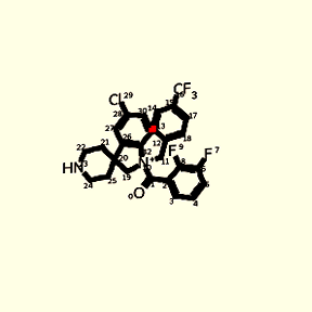 O=C(c1cccc(F)c1F)[N+]1(Cc2ccc(C(F)(F)F)cc2)CC2(CCNCC2)c2cc(Cl)ccc21